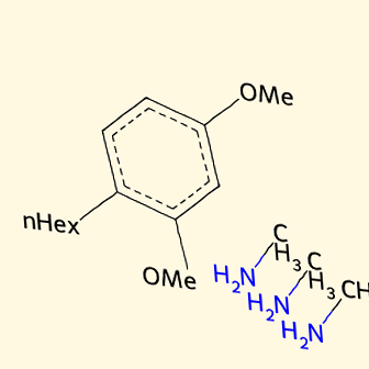 CCCCCCc1ccc(OC)cc1OC.CN.CN.CN